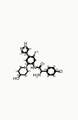 NC(C(=O)Nc1cc(F)c(-c2cn[nH]c2)cc1N1CCC(O)CC1)c1ccc(Cl)cc1